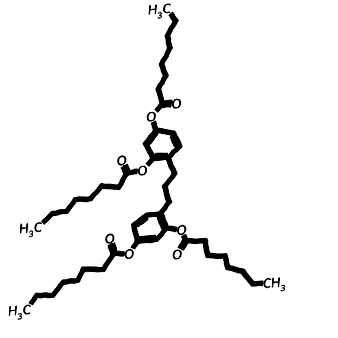 CCCCCCCC(=O)Oc1ccc(CCCc2ccc(OC(=O)CCCCCCC)cc2OC(=O)CCCCCCC)c(OC(=O)CCCCCCC)c1